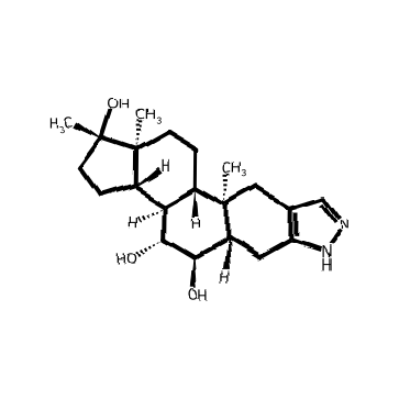 C[C@]12Cc3cn[nH]c3C[C@@H]1[C@@H](O)[C@H](O)[C@@H]1[C@@H]2CC[C@@]2(C)[C@H]1CC[C@]2(C)O